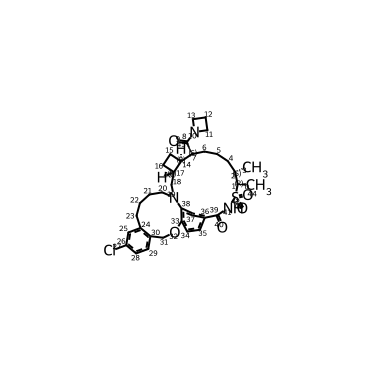 C[C@@H]1[C@@H](C)CCC[C@H](C(=O)N2CCC2)[C@@H]2CC[C@H]2CN2CCCCc3cc(Cl)ccc3COc3ccc(cc32)C(=O)NS1(=O)=O